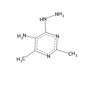 Cc1nc(C)c(N)c(NN)n1